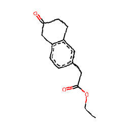 CCOC(=O)Cc1ccc2c(c1)CCC(=O)C2